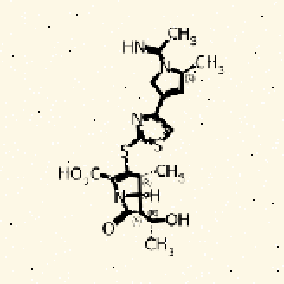 CC(=N)N1CC(c2csc(SC3=C(C(=O)O)N4C(=O)[C@H]([C@@H](C)O)[C@H]4[C@H]3C)n2)=C[C@@H]1C